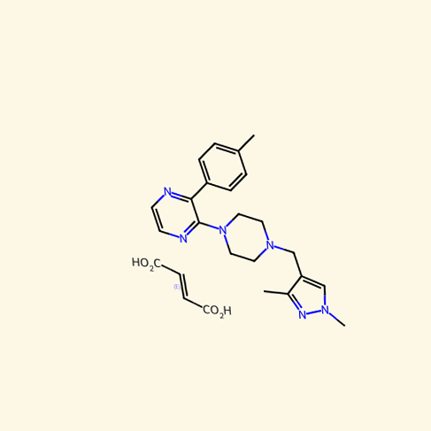 Cc1ccc(-c2nccnc2N2CCN(Cc3cn(C)nc3C)CC2)cc1.O=C(O)/C=C/C(=O)O